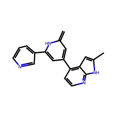 C=C1C=C(c2ccnc3[nH]c(C)cc23)C=C(c2cccnc2)N1